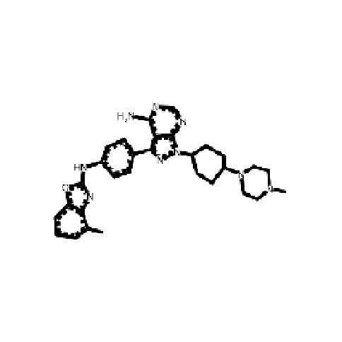 Cc1cccc2oc(Nc3ccc(-c4nn(C5CCC(N6CCN(C)CC6)CC5)c5ncnc(N)c45)cc3)nc12